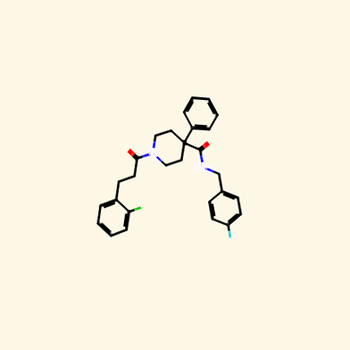 O=C(CCc1ccccc1Cl)N1CCC(C(=O)NCc2ccc(F)cc2)(c2ccccc2)CC1